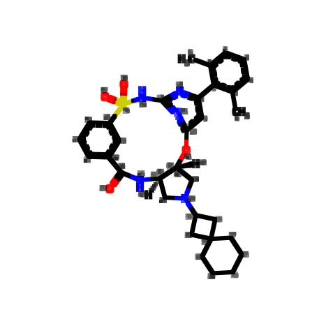 Cc1cccc(C)c1-c1cc2nc(n1)NS(=O)(=O)c1cccc(c1)C(=O)N[C@@H]1CN(C3CC4(CCCCC4)C3)C[C@H]1O2